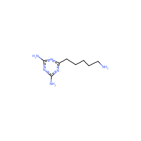 NCCCCCc1nc(N)nc(N)n1